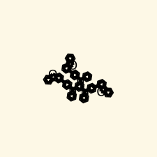 c1ccc(N(c2ccc(-c3ccc4oc5ccccc5c4c3)cc2)c2cc(N(c3ccccc3)c3ccc(-c4cccc5c4oc4ccccc45)cc3)cc(N(c3ccccc3)c3ccc(-c4cccc5c4oc4ccccc45)cc3)c2)cc1